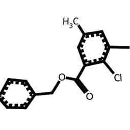 Cc1cc(I)c(Cl)c(C(=O)OCc2ccccc2)c1